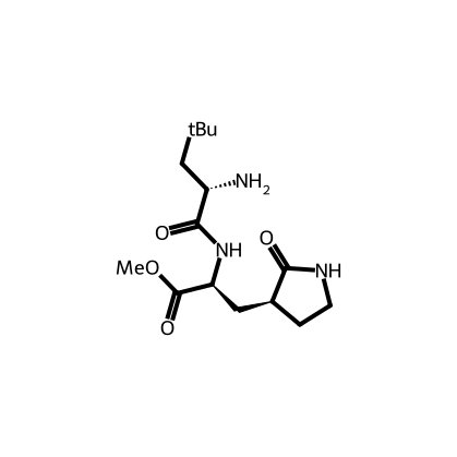 COC(=O)[C@H](C[C@@H]1CCNC1=O)NC(=O)[C@@H](N)CC(C)(C)C